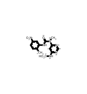 Cc1ccc([N+](=O)[O-])cc1NC(=O)N(C)c1cc(NC(=O)O)ncn1